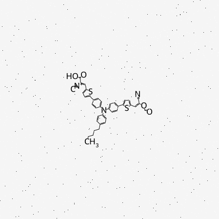 [C-]#[N+]/C(=C\c1ccc(-c2ccc(N(c3ccc(CCCCC)cc3)c3ccc(-c4ccc(/C=C(\C#N)OC=O)s4)cc3)cc2)s1)C(=O)O